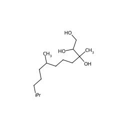 CC(C)CCCC(C)CCCC(C)(O)C(O)CO